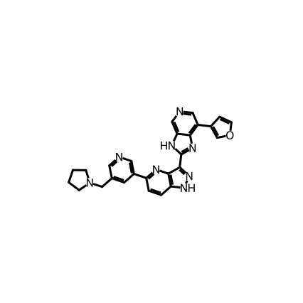 c1cc(-c2cncc3[nH]c(-c4n[nH]c5ccc(-c6cncc(CN7CCCC7)c6)nc45)nc23)co1